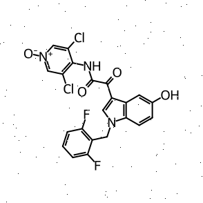 O=C(Nc1c(Cl)c[n+]([O-])cc1Cl)C(=O)c1cn(Cc2c(F)cccc2F)c2ccc(O)cc12